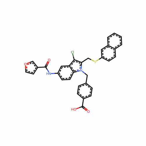 O=C(O)c1ccc(Cn2c(CSc3ccc4ccccc4c3)c(Cl)c3cc(NC(=O)c4ccoc4)ccc32)cc1